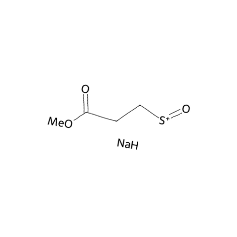 COC(=O)CC[S+]=O.[NaH]